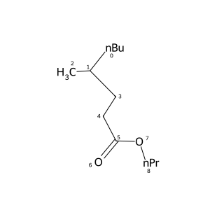 CCCCC(C)CCC(=O)OCCC